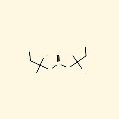 CCC(C)(C)O[Si](=O)OC(C)(C)CC